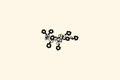 O=C(N[C@@H](Cc1ccc(OP(=O)(OCc2ccccc2)OCc2ccccc2)c(OCc2ccccc2)c1)C(=O)N[C@@H](Cc1ccc(OCc2ccccc2)cc1)C(=O)OCc1ccccc1)OCc1ccccc1